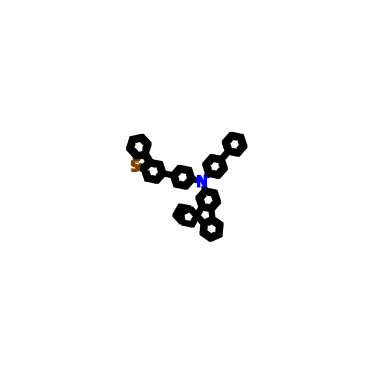 c1ccc(-c2ccc(N(c3ccc(-c4ccc5sc6ccccc6c5c4)cc3)c3ccc4c(c3)C3(CC5CCC3C5)c3ccccc3-4)cc2)cc1